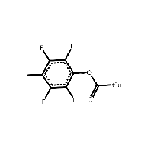 Cc1c(F)c(F)c(OC(=O)C(C)(C)C)c(F)c1F